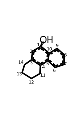 Oc1cc2c(c3ccccc13)CCCC2